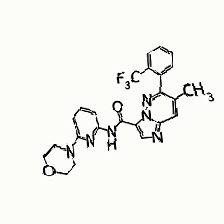 Cc1cc2ncc(C(=O)Nc3cccc(N4CCOCC4)n3)n2nc1-c1ccccc1C(F)(F)F